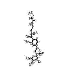 CCNC(=O)NCCNC(=O)c1ccc(/C=C/C(c2cc(Cl)c(Cl)c(Cl)c2)C(F)(F)F)cc1Br